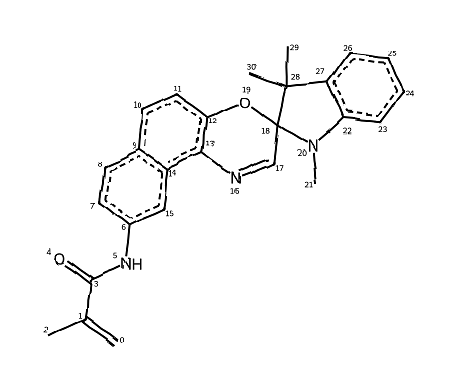 C=C(C)C(=O)Nc1ccc2ccc3c(c2c1)N=CC1(O3)N(C)c2ccccc2C1(C)C